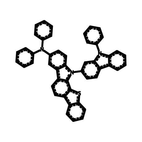 c1ccc(N(c2ccccc2)c2ccc3c(c2)c2ccc4c5ccccc5sc4c2n3-c2ccc3c4ccccc4n(-c4ccccc4)c3c2)cc1